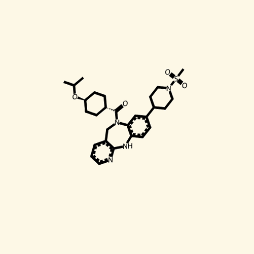 CC(C)O[C@H]1CC[C@H](C(=O)N2Cc3cccnc3Nc3ccc(C4CCN(S(C)(=O)=O)CC4)cc32)CC1